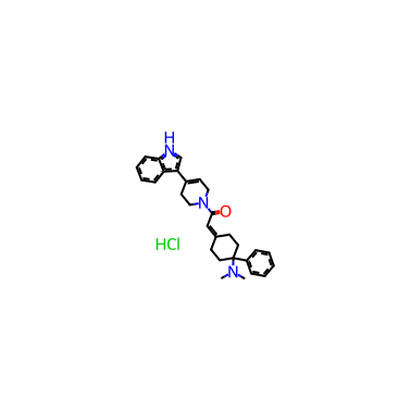 CN(C)C1(c2ccccc2)CCC(=CC(=O)N2CC=C(c3c[nH]c4ccccc34)CC2)CC1.Cl